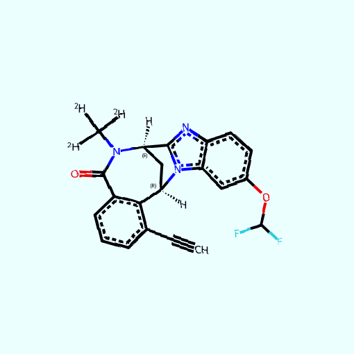 [2H]C([2H])([2H])N1C(=O)c2cccc(C#C)c2[C@H]2C[C@@H]1c1nc3ccc(OC(F)F)cc3n12